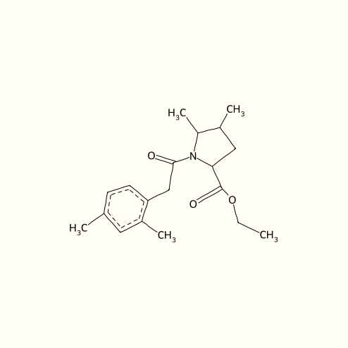 CCOC(=O)C1CC(C)C(C)N1C(=O)Cc1ccc(C)cc1C